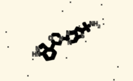 CC(C)(N)c1cc2nc(N3CCOC(c4cccc5[nH]ncc45)C3)ncc2s1